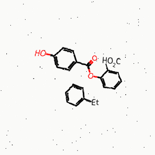 CCc1ccccc1.O=C(Oc1ccccc1C(=O)O)c1ccc(O)cc1